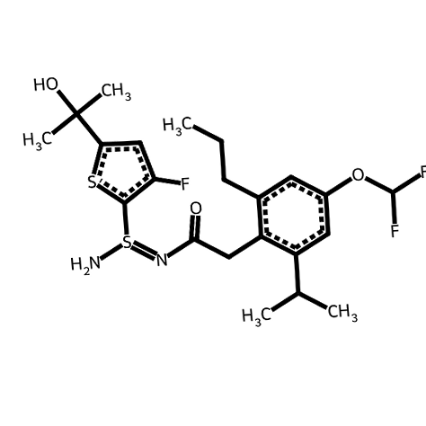 CCCc1cc(OC(F)F)cc(C(C)C)c1CC(=O)/N=S(/N)c1sc(C(C)(C)O)cc1F